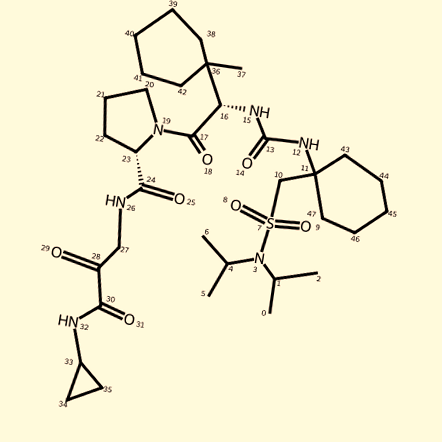 CC(C)N(C(C)C)S(=O)(=O)CC1(NC(=O)N[C@H](C(=O)N2CCC[C@H]2C(=O)NCC(=O)C(=O)NC2CC2)C2(C)CCCCC2)CCCCC1